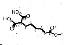 COC(=O)C=CC=CCC(C(=O)O)C(=O)O